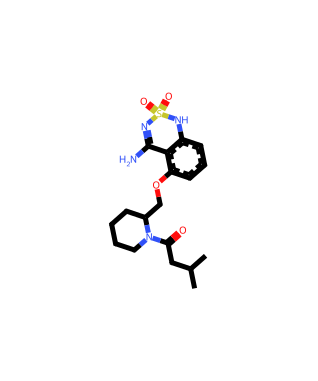 CC(C)CC(=O)N1CCCCC1COc1cccc2c1C(N)=NS(=O)(=O)N2